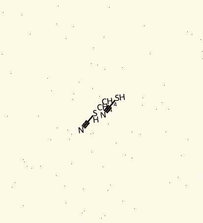 C.C.N#CS.N#CS